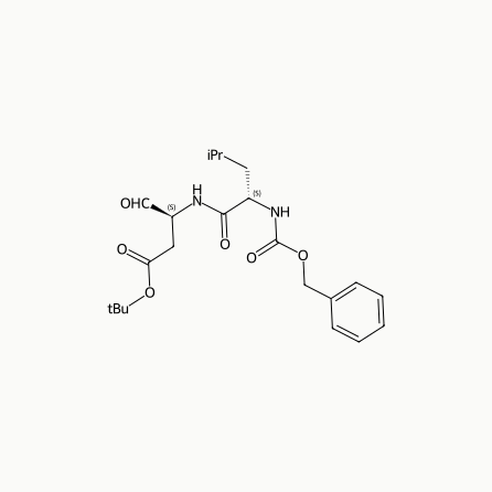 CC(C)C[C@H](NC(=O)OCc1ccccc1)C(=O)N[C@H](C=O)CC(=O)OC(C)(C)C